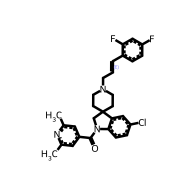 Cc1cc(C(=O)N2CC3(CCN(C/C=C/c4ccc(F)cc4F)CC3)c3cc(Cl)ccc32)cc(C)n1